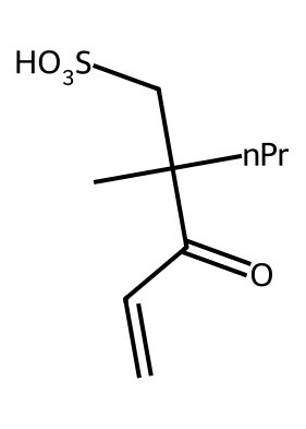 C=CC(=O)C(C)(CCC)CS(=O)(=O)O